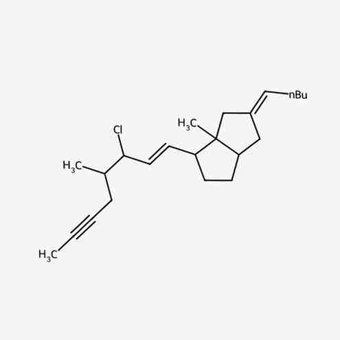 CC#CCC(C)C(Cl)/C=C/C1CCC2C/C(=C\CCCC)CC12C